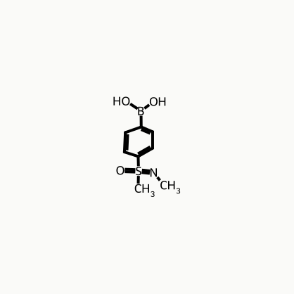 CN=S(C)(=O)c1ccc(B(O)O)cc1